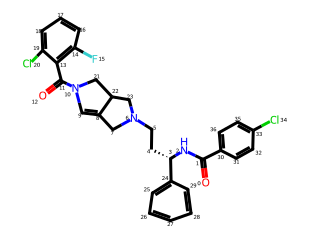 O=C(N[C@@H](CCN1CC2=CN(C(=O)c3c(F)cccc3Cl)CC2C1)c1ccccc1)c1ccc(Cl)cc1